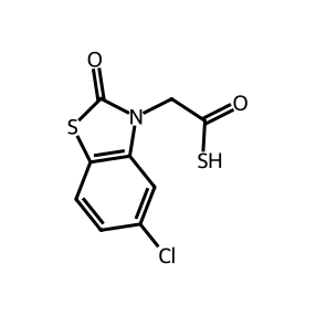 O=C(S)Cn1c(=O)sc2ccc(Cl)cc21